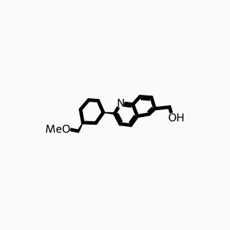 COC[C@H]1CCC[C@@H](c2ccc3cc(CO)ccc3n2)C1